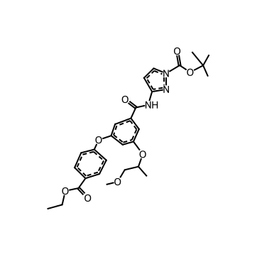 CCOC(=O)c1ccc(Oc2cc(OC(C)COC)cc(C(=O)Nc3ccn(C(=O)OC(C)(C)C)n3)c2)cc1